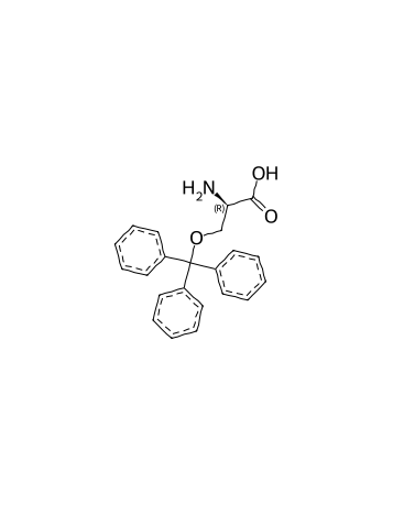 N[C@H](COC(c1ccccc1)(c1ccccc1)c1ccccc1)C(=O)O